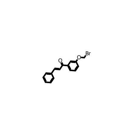 O=C(/C=C/c1ccccc1)c1cccc(OCBr)c1